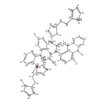 COc1ccccc1C(=O)c1cc(C)ccc1N(C(=O)Nc1ncc(CCc2nnc[nH]2)s1)N(C(=O)Nc1ncc(CCc2nncn2C)s1)c1ccc(C)cc1C(=O)c1ccccc1OC